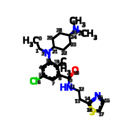 CCN(c1cc(Cl)cc(C(=O)NCCc2nccs2)c1C)C1CCC(N(C)C)CC1